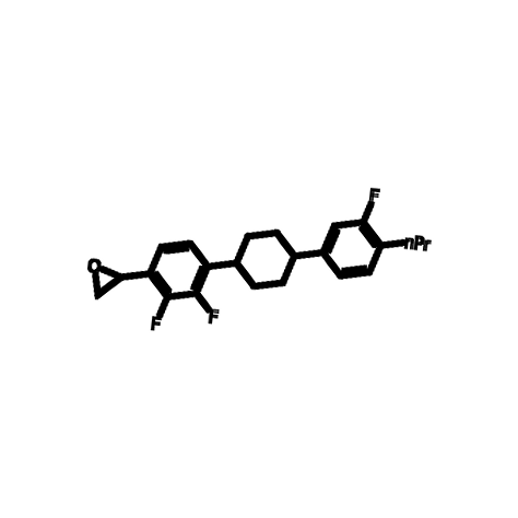 CCCc1ccc(C2CCC(c3ccc(C4CO4)c(F)c3F)CC2)cc1F